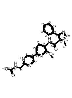 COc1nc(-c2cnc(CNC(=O)O)nc2)ccc1NC(=O)c1c(-c2ccccc2)nnn1C